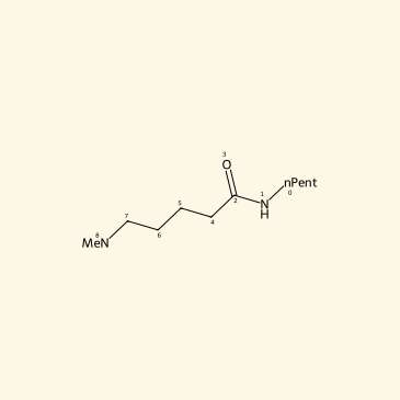 CCCCCNC(=O)CCCCNC